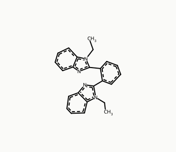 CCn1c(-c2ccccc2-c2nc3ccccc3n2CC)nc2ccccc21